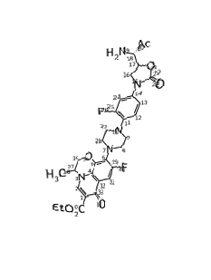 CCOC(=O)c1cn2c3c(c(N4CCN(c5ccc(N6CC([C@H](N)C(C)=O)OC6=O)cc5F)CC4)c(F)cc3c1=O)OCC2C